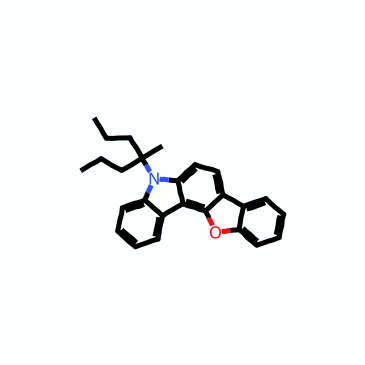 CCCC(C)(CCC)n1c2ccccc2c2c3oc4ccccc4c3ccc21